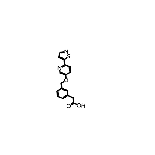 O=C(O)Cc1cccc(COc2ccc(-c3ccns3)nc2)c1